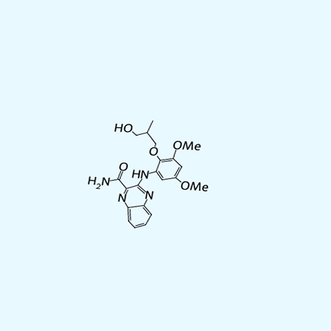 COc1cc(Nc2nc3ccccc3nc2C(N)=O)c(OCC(C)CO)c(OC)c1